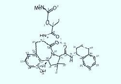 CNC(=O)OC(C)C(=O)N[C@H]1Cc2cccc(O)c2[C@H]2CC(C)(C)C(C(=O)N[C@@H]3CCCc4ccccc43)N2C1=O